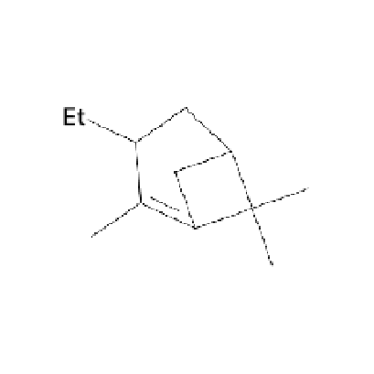 CCC1CC2CC(=C1C)C2(C)C